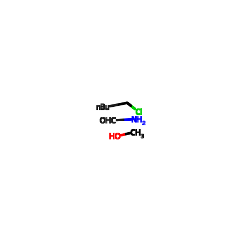 CCCCCCl.CO.NC=O